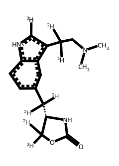 [2H]c1[nH]c2ccc(C([2H])([2H])[C@@H]3NC(=O)OC3([2H])[2H])cc2c1C([2H])([2H])CN(C)C